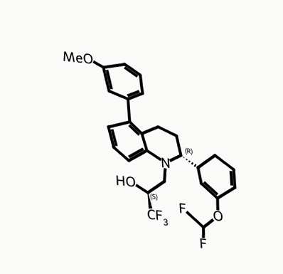 COc1cccc(-c2cccc3c2CC[C@H](C2C=C(OC(F)F)C=CC2)N3C[C@H](O)C(F)(F)F)c1